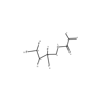 C=C(C)C(=O)OCC(F)(F)C(F)C(F)F